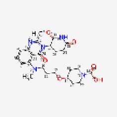 Cc1nc2cccc(N(C)CCCOC3CCN(C(=O)O)CC3)c2c(=O)n1C1CCC(=O)NC1=O